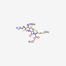 CO/N=C(\C(=O)N[C@@H]1C(=O)N2C(C(=O)OCOC(C)=O)=C(/C=C/COC(C)=O)CS[C@H]12)c1csc(N)n1